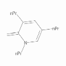 C=C1C(CCC)=CC(CCC)=CN1CCC